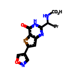 CC(C)C(NC(=O)O)c1nc2cc(-c3cnoc3)sc2c(=O)[nH]1